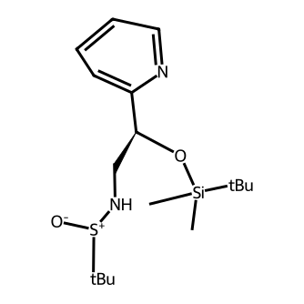 CC(C)(C)[S+]([O-])NC[C@H](O[Si](C)(C)C(C)(C)C)c1ccccn1